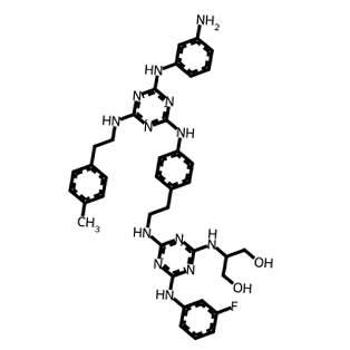 Cc1ccc(CCNc2nc(Nc3ccc(CCNc4nc(Nc5cccc(F)c5)nc(NC(CO)CO)n4)cc3)nc(Nc3cccc(N)c3)n2)cc1